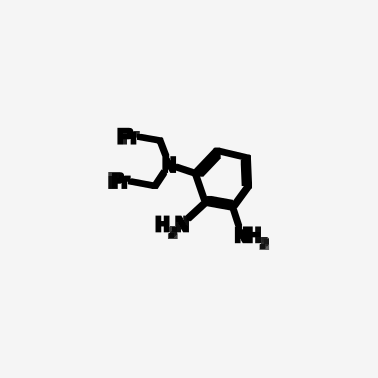 CC(C)CN(CC(C)C)c1cccc(N)c1N